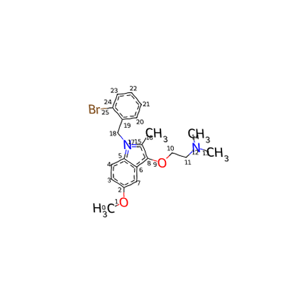 COc1ccc2c(c1)c(OCCN(C)C)c(C)n2Cc1ccccc1Br